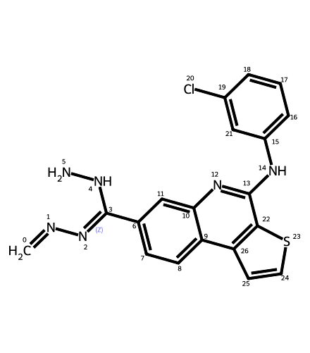 C=N/N=C(\NN)c1ccc2c(c1)nc(Nc1cccc(Cl)c1)c1sccc12